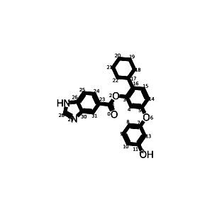 O=C(Oc1cc(Oc2cccc(O)c2)ccc1C1CCCCC1)c1ccc2[nH]cnc2c1